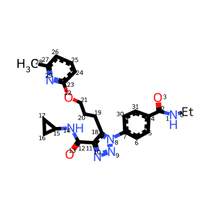 CCNC(=O)c1ccc(-n2nnc(C(=O)NC3CC3)c2CCCOc2cccc(C)n2)cc1